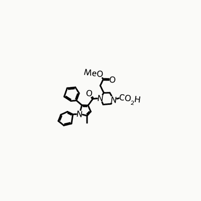 COC(=O)CC1CN(C(=O)O)CCN1C(=O)c1cc(C)n(-c2ccccc2)c1-c1ccccc1